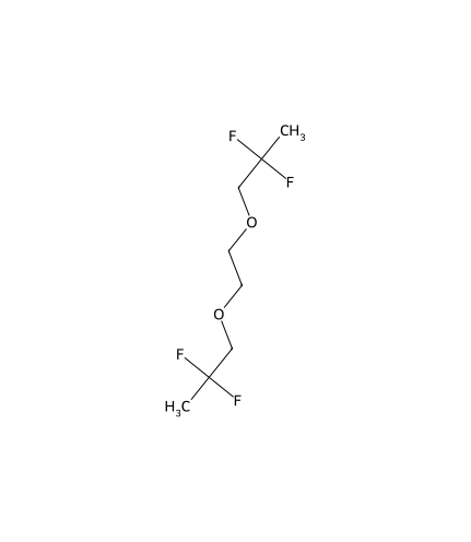 CC(F)(F)COCCOCC(C)(F)F